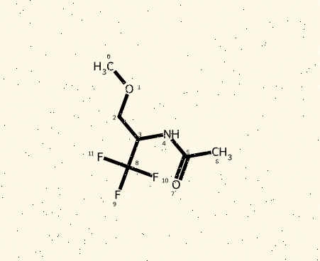 COCC(NC(C)=O)C(F)(F)F